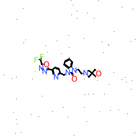 O=c1n(CCN2CC3(COC3)C2)c2ccccc2n1Cc1ccc(-c2nnc(C(F)F)o2)cn1